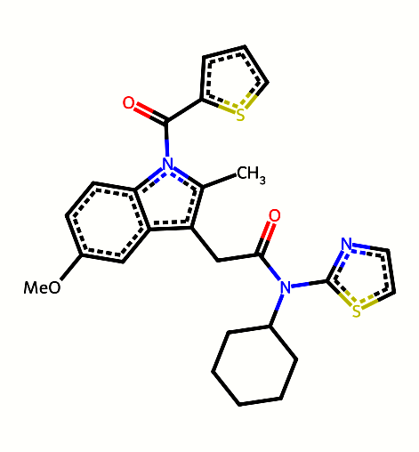 COc1ccc2c(c1)c(CC(=O)N(c1nccs1)C1CCCCC1)c(C)n2C(=O)c1cccs1